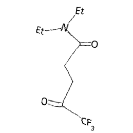 CCN(CC)C(=O)CCC(=O)C(F)(F)F